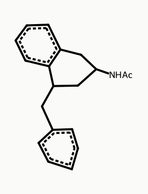 CC(=O)NC1Cc2ccccc2C(Cc2ccccc2)C1